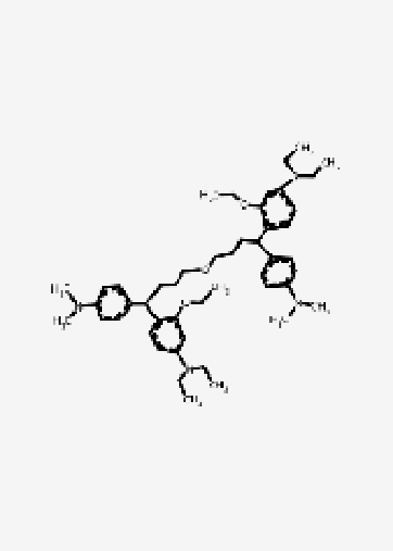 CCOc1cc(N(CC)CC)ccc1C(CCCOCCCC(c1ccc(N(C)C)cc1)c1ccc(N(CC)CC)cc1OCC)c1ccc(N(C)C)cc1